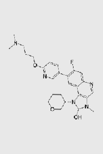 CN(C)CCCOc1ccc(-c2cc3c4c(cnc3cc2F)N(C)C(O)N4[C@H]2CCCOC2)cn1